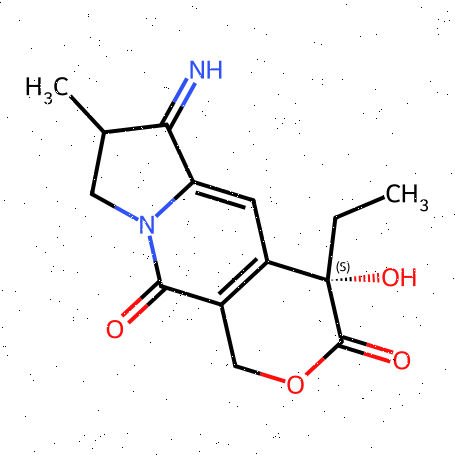 CC[C@@]1(O)C(=O)OCc2c1cc1n(c2=O)CC(C)C1=N